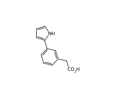 O=C(O)Cc1cccc(-c2ccc[nH]2)c1